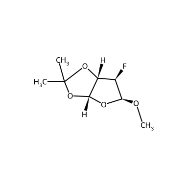 CO[C@H]1O[C@@H]2OC(C)(C)O[C@@H]2[C@H]1F